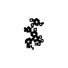 COc1ccc(Cl)c(OC[C@H]2CC(C)(C)CN2c2cc3c(cc2Cl)c(=O)c(C(=O)O)cn3-c2ccnc(N)c2)n1